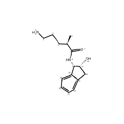 C[C@H](CCCN)C(=O)N[C@H]1c2ccccc2C[C@H]1O